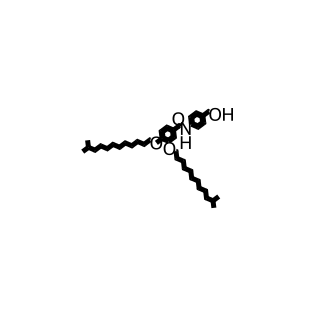 CC(C)CCCCCCCCCCOc1ccc(C(=O)Nc2ccc(CO)cc2)cc1OCCCCCCCCCCC(C)C